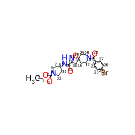 CCOC(=O)N1CCC(NC(=O)C2=NOC3(CCN(C(=O)c4ccc(Br)cc4)CC3)C2)CC1